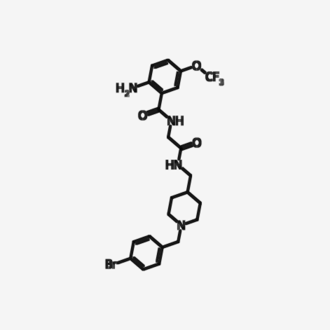 Nc1ccc(OC(F)(F)F)cc1C(=O)NCC(=O)NCC1CCN(Cc2ccc(Br)cc2)CC1